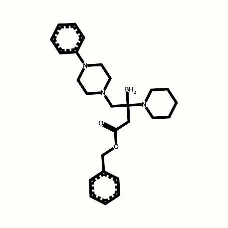 BC(CC(=O)OCc1ccccc1)(CN1CCN(c2ccccc2)CC1)N1CCCCC1